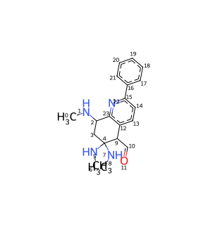 CNC1CC(NC)(NC)C(C=O)c2ccc(-c3ccccc3)nc21